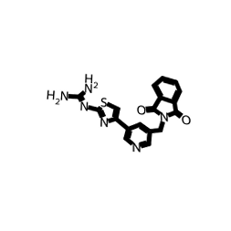 NC(N)=Nc1nc(-c2cncc(CN3C(=O)c4ccccc4C3=O)c2)cs1